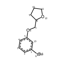 CC(C)(C)c1cccc(OCC2CCCO2)c1